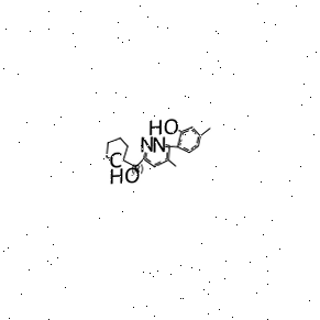 Cc1ccc(-c2nnc([C@H](O)C3CCCCC3)cc2C)c(O)c1